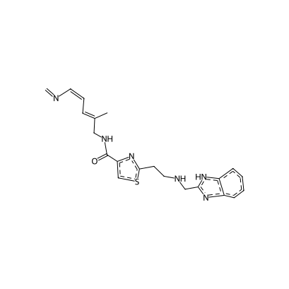 C=N/C=C\C=C(/C)CNC(=O)c1csc(CCNCc2nc3ccccc3[nH]2)n1